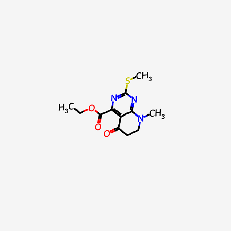 CCOC(=O)c1nc(SC)nc2c1C(=O)CCN2C